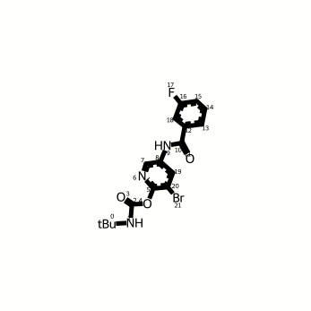 CC(C)(C)NC(=O)Oc1ncc(NC(=O)c2cccc(F)c2)cc1Br